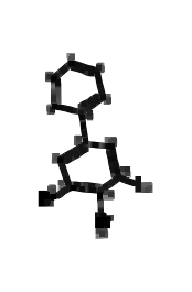 Brc1cc(-c2ccccc2)cc(I)c1Br